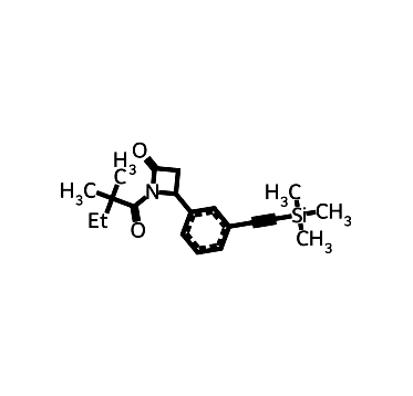 CCC(C)(C)C(=O)N1C(=O)CC1c1cccc(C#C[Si](C)(C)C)c1